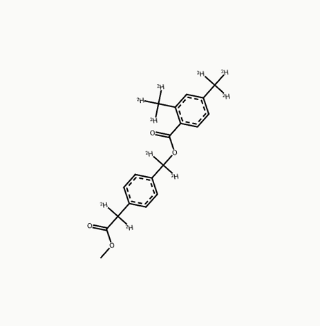 [2H]C([2H])([2H])c1ccc(C(=O)OC([2H])([2H])c2ccc(C([2H])([2H])C(=O)OC)cc2)c(C([2H])([2H])[2H])c1